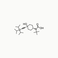 CC(C)[Si](C#C[C@]1(O)CC[C@@H](N(C(=O)O)C(C)(C)C)CC1)(C(C)C)C(C)C